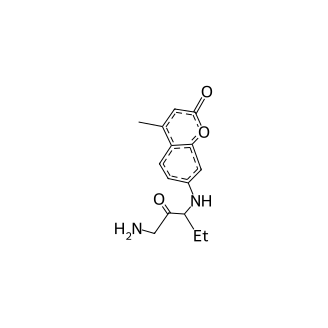 CCC(Nc1ccc2c(C)cc(=O)oc2c1)C(=O)CN